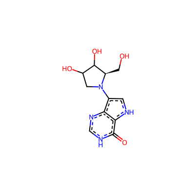 O=c1[nH]cnc2c(N3CC(O)C(O)[C@H]3CO)c[nH]c12